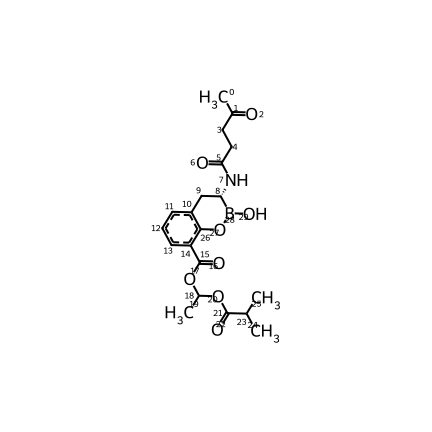 CC(=O)CCC(=O)N[C@H]1Cc2cccc(C(=O)OC(C)OC(=O)C(C)C)c2OB1O